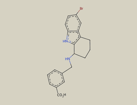 O=C(O)c1cccc(CNC2CCCc3c2[nH]c2ccc(Br)cc32)c1